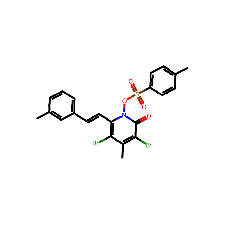 Cc1ccc(S(=O)(=O)On2c(/C=C/c3cccc(C)c3)c(Br)c(C)c(Br)c2=O)cc1